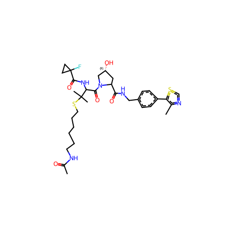 CC(=O)NCCCCCCSC(C)(C)C(NC(=O)C1(F)CC1)C(=O)N1C[C@H](O)CC1C(=O)NCc1ccc(-c2scnc2C)cc1